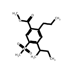 CCCc1cc(C(C)CC)c(S(C)(=O)=O)cc1C(=O)OC